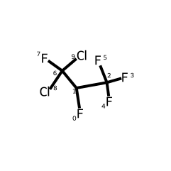 FC(C(F)(F)F)C(F)(Cl)Cl